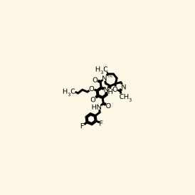 CCCCOc1c2n(cc(C(=O)NCc3ccc(F)cc3F)c1=O)[C@@H]1CN(C2=O)[C@@H](C)CCC12CN=C(C)O2